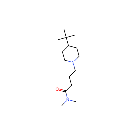 CN(C)C(=O)CCCN1CCC(C(C)(C)C)CC1